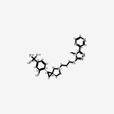 Cn1c(SCCCN2CC[C@]3(C[C@@H]3c3ccc(C(F)(F)F)cc3F)C2)nnc1-c1cnccn1